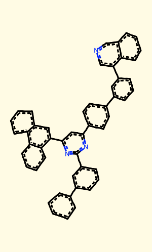 c1ccc(-c2cccc(-c3nc(-c4ccc(-c5cccc(-c6cncc7ccccc67)c5)cc4)cc(-c4cc5ccccc5c5ccccc45)n3)c2)cc1